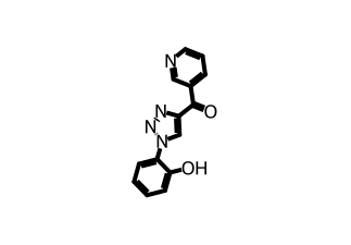 O=C(c1cccnc1)c1cn(-c2ccccc2O)nn1